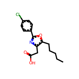 CCCCCc1oc(-c2ccc(Cl)cc2)nc1CC(=O)O